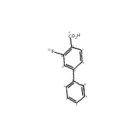 O=C(O)c1ccc(-c2c[c]ccc2)cc1F